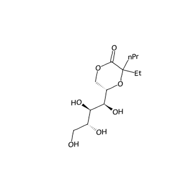 CCCC1(CC)O[C@H]([C@@H](O)[C@H](O)[C@H](O)CO)COC1=O